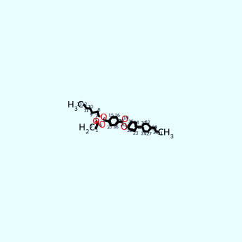 C=CC(=O)OC(OCCCCCCC)c1ccc(C(=O)Oc2ccc(C3CCC(CCC)CC3)cc2)cc1